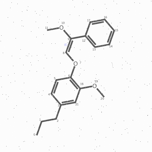 CCCc1ccc(O/C=C(/OC)c2ccccc2)c(OC)c1